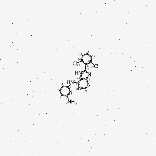 Nc1cccc(Nc2ncnc3nc(-c4c(Cl)cccc4Cl)[nH]c23)n1